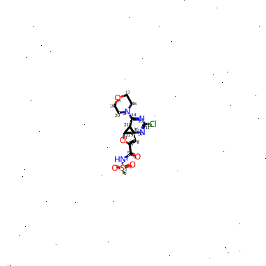 CS(=O)(=O)NC(=O)C1=C[C@]23N=C(Cl)N=C(N4CCOCC4)C2C3O1